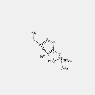 CCCC[N+](CCCC)(CCCC)Cc1ccc(CBr)cc1.[Br-]